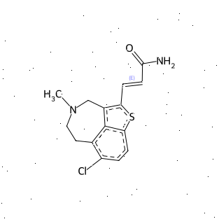 CN1CCc2c(Cl)ccc3sc(/C=C/C(N)=O)c(c23)C1